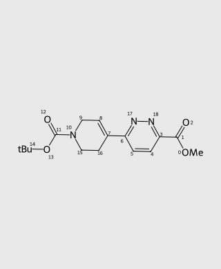 COC(=O)c1ccc(C2=CCN(C(=O)OC(C)(C)C)CC2)nn1